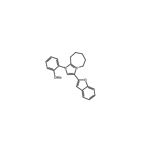 COc1ccccc1-n1cc(-c2cc3ccccc3o2)[n+]2c1CCCCC2